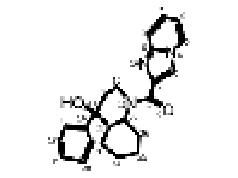 O=C(c1cn2ccccc2n1)N1CCC(O)(c2ccccc2)C2CCCCC21